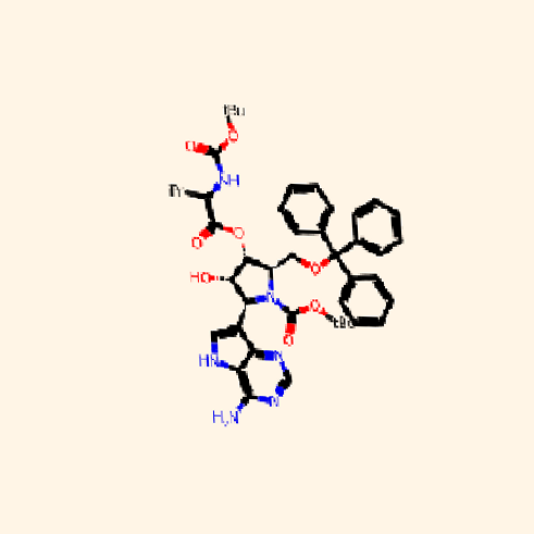 CC(C)C(NC(=O)OC(C)(C)C)C(=O)O[C@H]1[C@@H](O)[C@H](c2c[nH]c3c(N)ncnc23)N(C(=O)OC(C)(C)C)[C@@H]1COC(c1ccccc1)(c1ccccc1)c1ccccc1